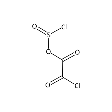 O=C(Cl)C(=O)OS(=O)Cl